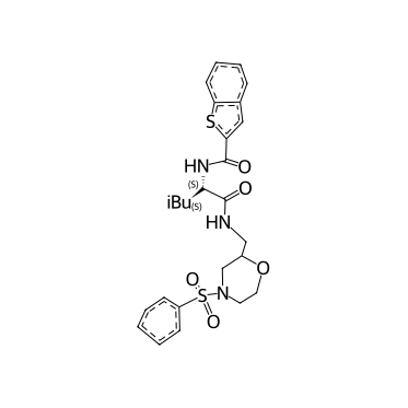 CC[C@H](C)[C@H](NC(=O)c1cc2ccccc2s1)C(=O)NCC1CN(S(=O)(=O)c2ccccc2)CCO1